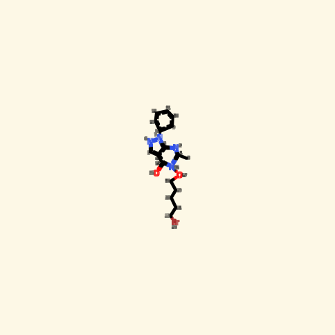 Cc1nc2c(cnn2-c2ccccc2)c(=O)n1OCCCCCBr